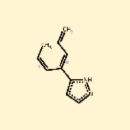 C=C/C=C(\C=C/C)c1ccn[nH]1